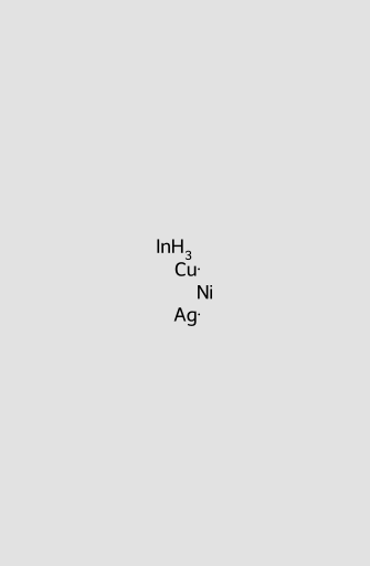 [Ag].[Cu].[InH3].[Ni]